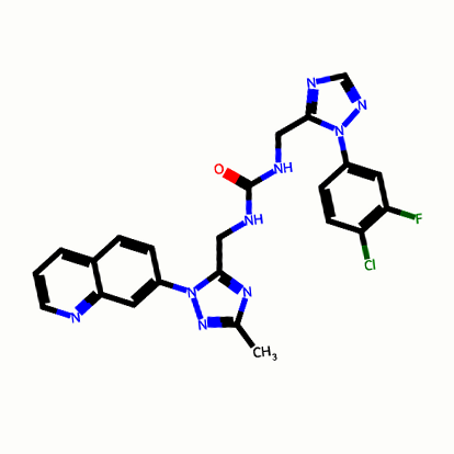 Cc1nc(CNC(=O)NCc2ncnn2-c2ccc(Cl)c(F)c2)n(-c2ccc3cccnc3c2)n1